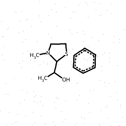 CC(O)C1SCCN1C.c1ccccc1